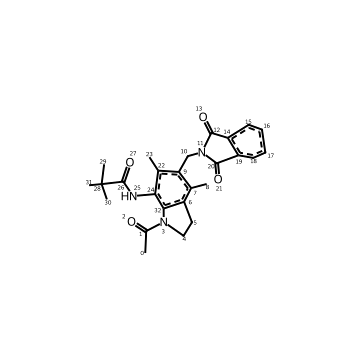 CC(=O)N1CCc2c(C)c(CN3C(=O)c4ccccc4C3=O)c(C)c(NC(=O)C(C)(C)C)c21